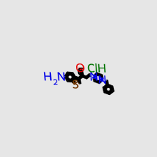 Cl.Nc1ccc2c(C(=C=O)CCN3CCN(Cc4ccccc4)CC3)csc2c1